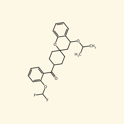 CC(C)OC1CC2(CCC(C(=O)c3ccccc3OC(F)F)CC2)Oc2ccccc21